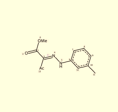 COC(=O)/C(=N/Nc1cccc(C)c1)C(C)=O